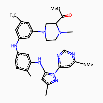 CNc1cc(-n2nc(C)cc2Nc2cc(Nc3cc(N4CCN(C)C(C(=O)OC)C4)cc(C(F)(F)F)c3)ccc2C)ncn1